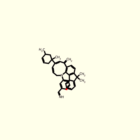 C=C1/C=C(C2(C)CC=CC(C)C2)\C=C/CN(c2cccc(C=N)c2)c2c1ccc1c2-c2ccccc2C1(C)C